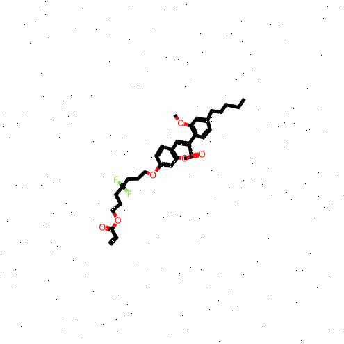 C=CC(=O)OCCCC(F)(F)CCCOc1ccc2cc(-c3ccc(CCCCC)cc3OC)c(=O)oc2c1